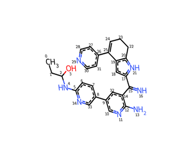 CCC(O)Nc1ccc(-c2cnc(N)c(C(=N)c3cc4c([nH]3)CCC=C4c3ccncc3)c2)cn1